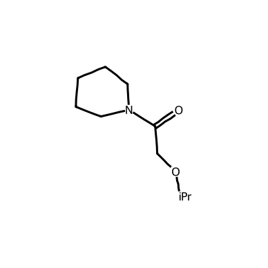 CC(C)OCC(=O)N1CCCCC1